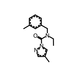 CCN(Cc1cccc(C)c1)C(=O)n1cc(C)cn1